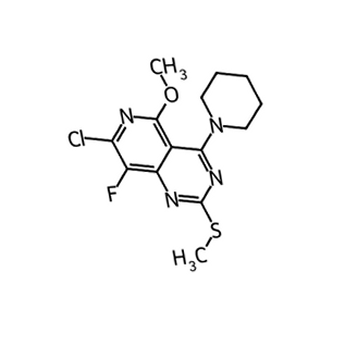 COc1nc(Cl)c(F)c2nc(SC)nc(N3CCCCC3)c12